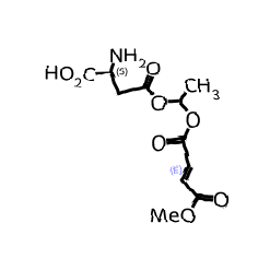 COC(=O)/C=C/C(=O)OC(C)OC(=O)C[C@H](N)C(=O)O